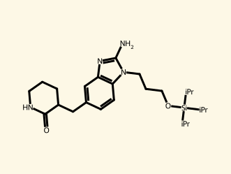 CC(C)[Si](OCCCn1c(N)nc2cc(CC3CCCNC3=O)ccc21)(C(C)C)C(C)C